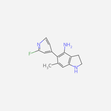 Cc1cc2c(c(N)c1-c1ccnc(F)c1)CCN2